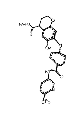 COC(=O)C1CCOc2cc(Oc3ccc(C(=O)Nc4ccc(C(F)(F)F)nc4)cc3)c(C#N)cc21